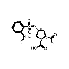 O=C(O)[C@@H]1C[C@@H](NS(=O)(=O)c2ccccc2[N+](=O)[O-])CN1C(=O)O